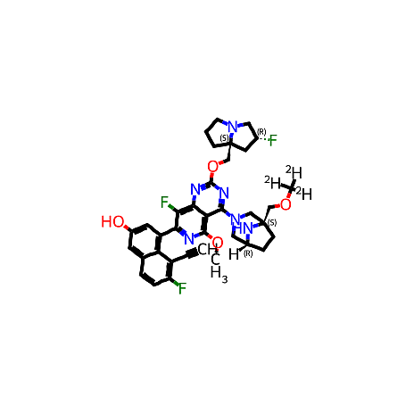 [2H]C([2H])([2H])OC[C@]12CC[C@H](CN(c3nc(OC[C@@]45CCCN4C[C@H](F)C5)nc4c(F)c(-c5cc(O)cc6ccc(F)c(C#C)c56)nc(OC)c34)C1)N2